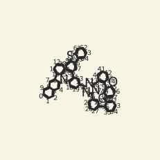 c1ccc2cc3c(cc2c1)c1ccccc1n3-c1ccc(-c2nc(-c3cccc4c3oc3ccccc34)nc(-c3cccc4oc5ccccc5c34)n2)cc1-c1ccc2sc3ccccc3c2c1